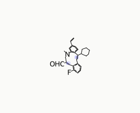 C=Cc1ccc2c(c1)N(C)C/C(C=O)=C\c1c(F)cccc1/C=C/2C1CCCCC1